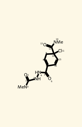 CNC(=O)NNC(=O)C1=CCC(Cl)(C(=O)NC)C=C1